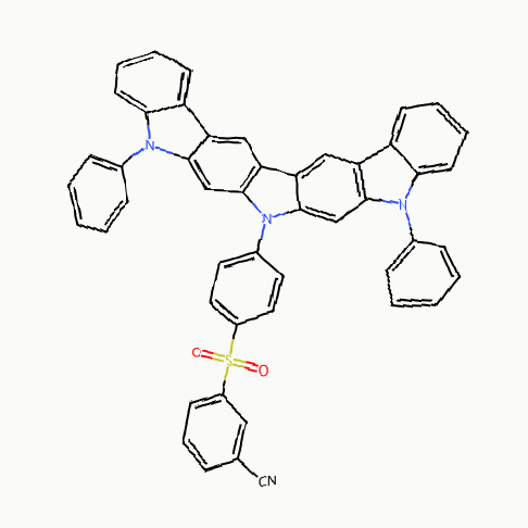 N#Cc1cccc(S(=O)(=O)c2ccc(-n3c4cc5c(cc4c4cc6c7ccccc7n(-c7ccccc7)c6cc43)c3ccccc3n5-c3ccccc3)cc2)c1